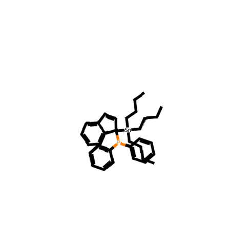 CCC[CH2][Sn]([CH2]CCC)([CH2]CCC)[C]1(P(c2ccccc2)c2ccccc2)C=Cc2ccccc21